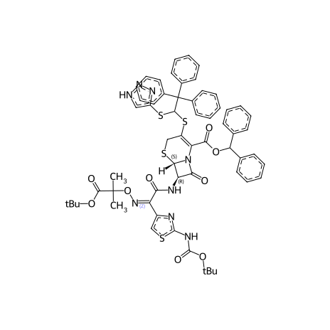 CC(C)(C)OC(=O)Nc1nc(/C(=N/OC(C)(C)C(=O)OC(C)(C)C)C(=O)N[C@@H]2C(=O)N3C(C(=O)OC(c4ccccc4)c4ccccc4)=C(SC(Sc4c[nH]nn4)C(c4ccccc4)(c4ccccc4)c4ccccc4)CS[C@@H]23)cs1